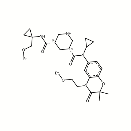 CCOCCN1C(=O)C(C)(C)Oc2ccc(N(C(=O)[C@H]3CNC[C@@H](C(=O)NC4(COC(C)C)CC4)C3)C3CC3)cc21